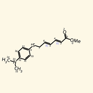 COC(=O)/C=C/C=C/CSc1ccc(N(C)C)cc1